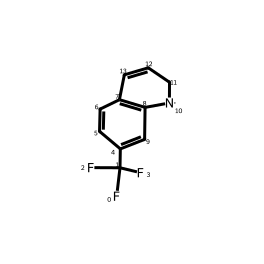 FC(F)(F)c1ccc2c(c1)[N]CC=C2